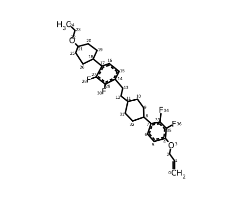 C=CCOc1ccc(C2CCC(CCc3ccc(C4CCC(OCC)CC4)c(F)c3F)CC2)c(F)c1F